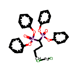 CCCC(P(=O)(Oc1ccccc1)Oc1ccccc1)P(=O)(Oc1ccccc1)Oc1ccccc1.[Cl][Pd][Cl]